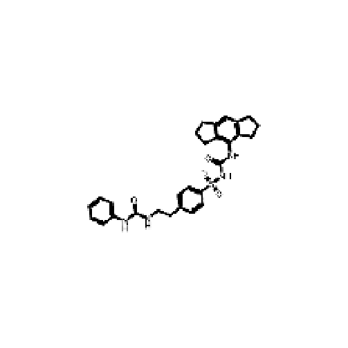 O=C(NCCc1ccc(S(=O)(=O)NC(=O)Nc2c3c(cc4c2CCC4)CCC3)cc1)Nc1ccccc1